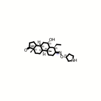 CC[C@H]1/C(=N/O[C@@H]2CCNC2)CC[C@@]2(C)C1[C@@H](O)C[C@@H]1[C@@H]2CC[C@]2(C)C(=O)CC[C@@H]12